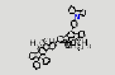 CC1(C)c2cc(-c3ccc4c(c3)C(C)(C)c3c-4cc(-c4ccc(-n5c6ccccc6c6ccccc65)cc4)c4c3C(C)(C)c3ccccc3-4)ccc2-c2cc3c(cc21)-c1ccccc1C3(c1ccccc1)c1ccccc1